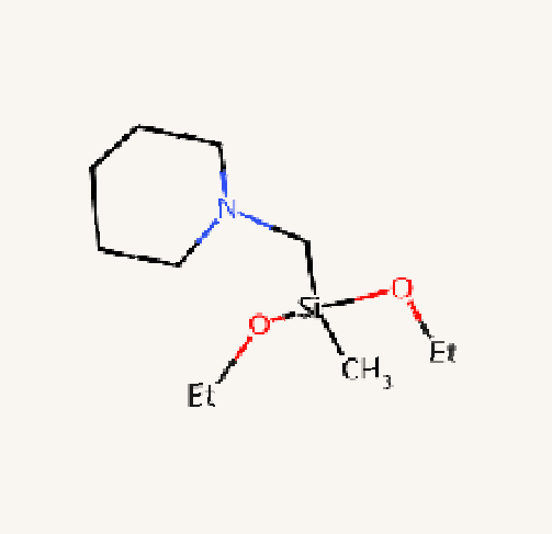 CCO[Si](C)(CN1CCCCC1)OCC